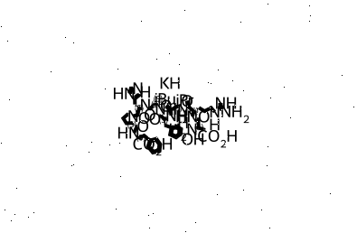 CC[C@H](C)[C@H](NC(=O)[C@H](Cc1ccc(O)cc1)NC(=O)[C@@H](NC(=O)[C@H](CCCNC(=N)N)NC(=O)[C@@H](N)CC(=O)O)C(C)C)C(=O)N[C@@H](Cc1cnc[nH]1)C(=O)N1CCC[C@H]1C(=O)N[C@@H](Cc1ccccc1)C(=O)O.[KH]